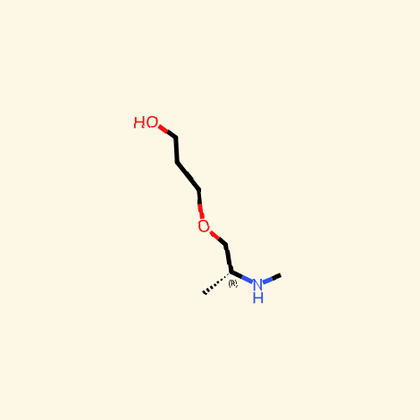 CN[C@H](C)COCCCO